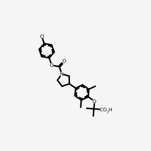 Cc1cc(C2CCN(C(=O)Oc3ccc(Cl)cc3)C2)cc(C)c1OC(C)(C)C(=O)O